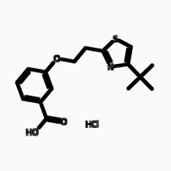 CC(C)(C)c1csc(CCOc2cccc(C(=O)O)c2)n1.Cl